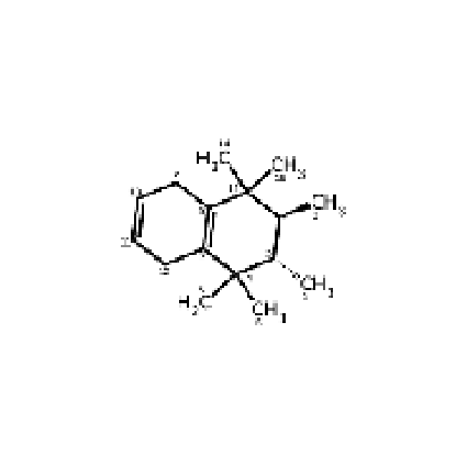 C[C@H]1[C@H](C)C(C)(C)C2=C(CC=CC2)C1(C)C